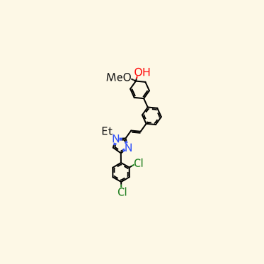 CCn1cc(-c2ccc(Cl)cc2Cl)nc1C=Cc1cccc(C2=CCC(O)(OC)C=C2)c1